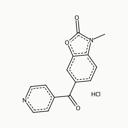 Cl.Cn1c(=O)oc2cc(C(=O)c3ccncc3)ccc21